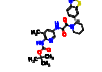 Cc1cc(NC(=O)C(=O)N2CCCC[C@H]2c2ccc3ncsc3c2)cnc1NC(=O)OC(C)(C)C